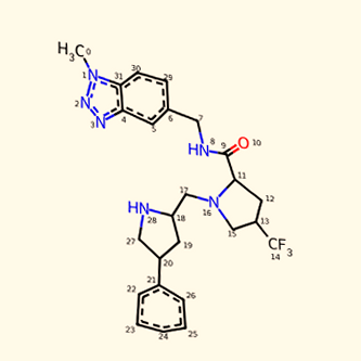 Cn1nnc2cc(CNC(=O)C3CC(C(F)(F)F)CN3CC3CC(c4ccccc4)CN3)ccc21